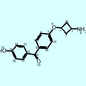 NC1CC(Oc2ccc(C(=O)c3ccc(O)cc3)cc2)C1